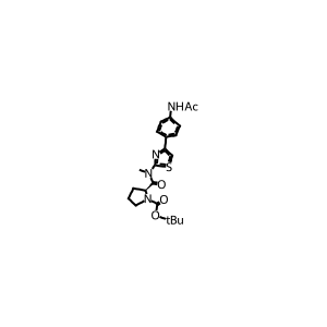 CC(=O)Nc1ccc(-c2csc(N(C)C(=O)[C@@H]3CCCN3C(=O)OC(C)(C)C)n2)cc1